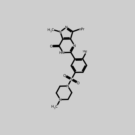 CCCc1nn(C)c2c(=O)[nH]c(-c3cc(S(=O)(=O)N4CCN(C)CC4)ccc3[18F])nc12